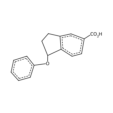 O=C(O)c1ccc2c(c1)CCC2Oc1ccccc1